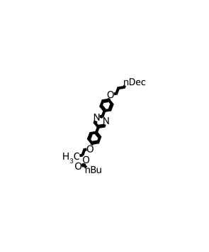 CCCCCCCCCCCCCOc1ccc(-c2ncc(-c3ccc(OCC(C)OC(=O)CCCC)cc3)cn2)cc1